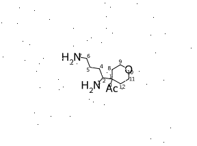 CC(=O)C1(C(N)CCCN)CCOCC1